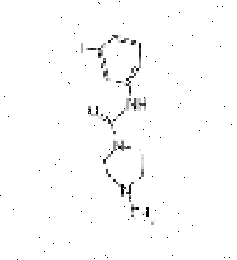 CN1CCN(C(=O)Nc2cccc(I)c2)CC1